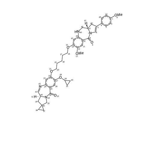 COc1ccc(C2=CN3C(=O)c4cc(OC)c(OCCCCCOc5cc6c(cc5OC5CC5)C(=O)N5CC7(CC7)C[C@H]5C=N6)cc4NC[C@@H]3C2)cc1